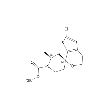 C[C@H]1C[C@]2(CCN1C(=O)OC(C)(C)C)OCCc1cc(Cl)sc12